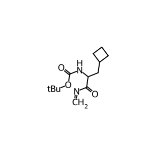 C=NC(=O)C(CC1CCC1)NC(=O)OC(C)(C)C